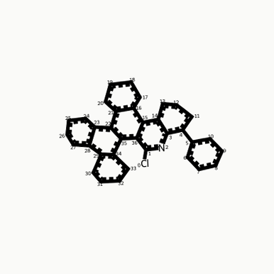 Clc1nc2c(-c3ccccc3)cccc2c2c3ccccc3c3c4ccccc4c4ccccc4c3c12